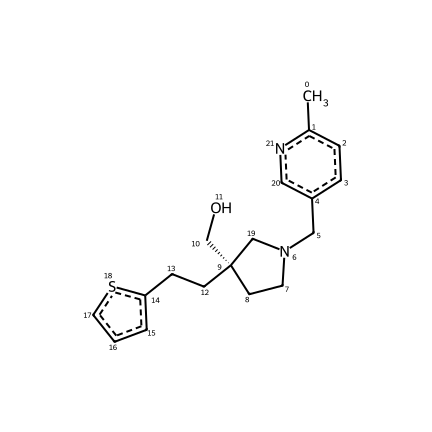 Cc1ccc(CN2CC[C@@](CO)(CCc3cccs3)C2)cn1